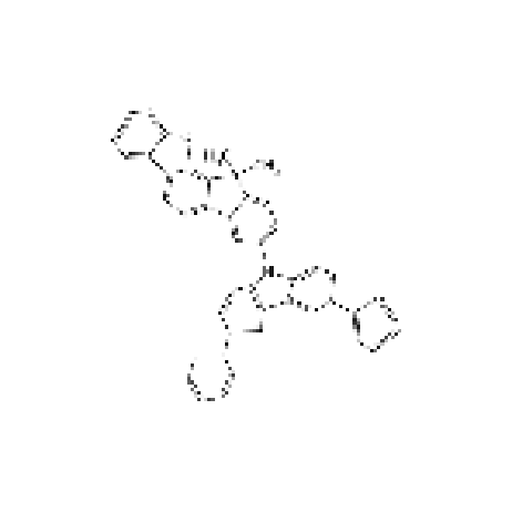 CC1(C)c2ccc(-n3c4ccc(-c5ccccc5)cc4c4cc(-c5ccccc5)ccc43)cc2-c2ccc3c(oc4ccccc43)c21